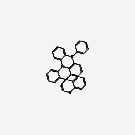 c1ccc(B2c3ccccc3N3c4ccccc4C4(c5ccccc5Sc5ccccc54)c4cccc2c43)cc1